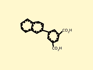 O=C(O)c1cc(C(=O)O)cc(-c2ccc3ccccc3c2)c1